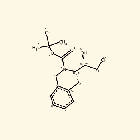 CC(C)(C)OC(=O)N1Cc2ccccc2C[C@H]1[C@H](O)CO